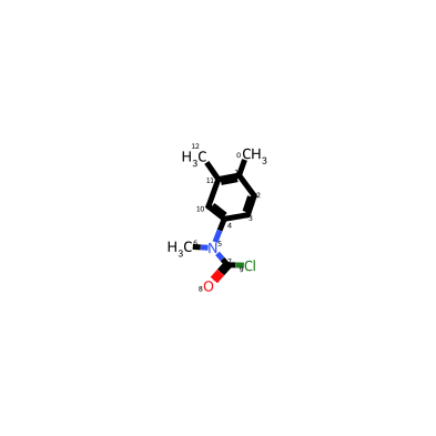 Cc1ccc(N(C)C(=O)Cl)cc1C